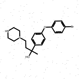 CC(O)(CCN1CCNCC1)c1ccc(Oc2ccc(Br)cc2)cc1